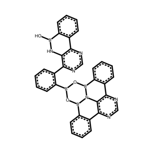 OB1Nc2c(ncnc2-c2ccccc2B2OB3c4ccccc4-c4ncnc5c4N3B(O2)c2ccccc2-5)-c2ccccc21